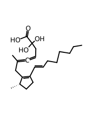 CCCCCC/C=C/C1=C(CC(C)=C=CCC(O)(O)C(=O)O)[C@@H](C)CC1